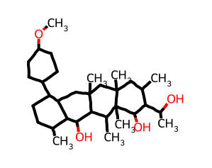 COC1CCC(C2CCC(C)C3C(O)C4C(C)C5(C)C(O)C(C(C)O)C(C)CC5(C)CC4(C)CC23)CC1